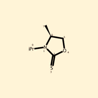 CC(C)N1C(=S)OC[C@@H]1C